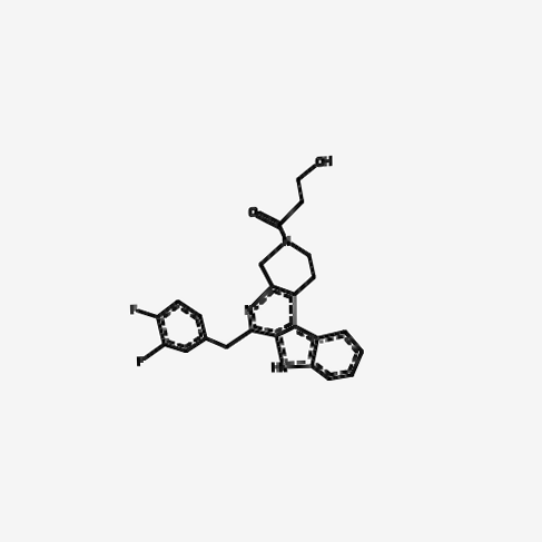 O=C(CCO)N1CCc2c(nc(Cc3ccc(F)c(F)c3)c3[nH]c4ccccc4c23)C1